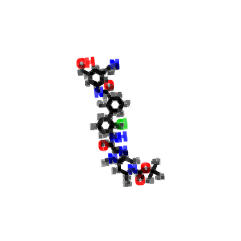 Cc1c(-c2nc3cc(CO)cc(C#N)c3o2)cccc1-c1cccc(NC(=O)c2nc3c(n2C)CC(C)N(C(=O)OC(C)(C)C)C3)c1Cl